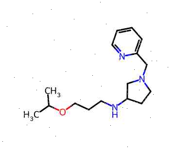 CC(C)OCCCNC1CCN(Cc2ccccn2)C1